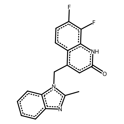 Cc1nc2ccccc2n1Cc1cc(=O)[nH]c2c(F)c(F)ccc12